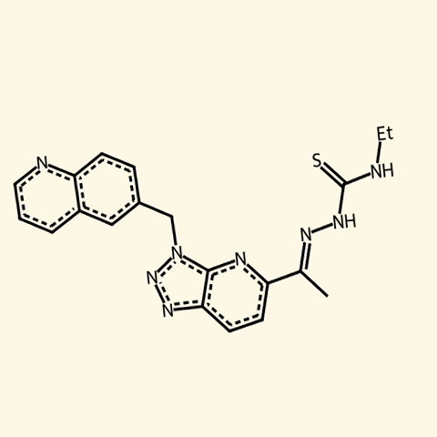 CCNC(=S)NN=C(C)c1ccc2nnn(Cc3ccc4ncccc4c3)c2n1